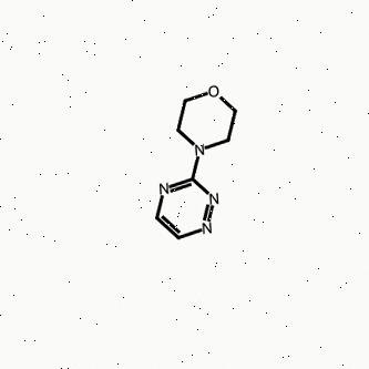 c1cnc(N2CCOCC2)nn1